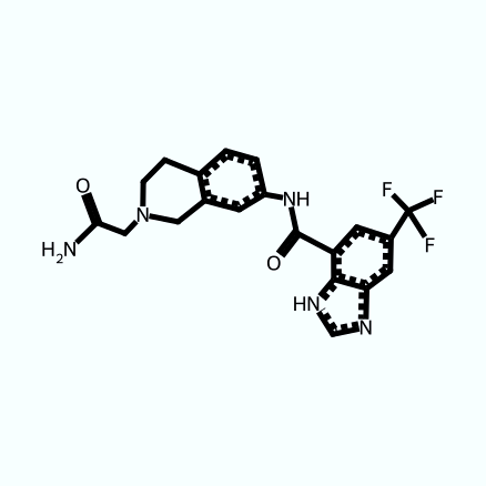 NC(=O)CN1CCc2ccc(NC(=O)c3cc(C(F)(F)F)cc4nc[nH]c34)cc2C1